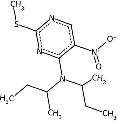 CCC(C)N(c1nc(SC)ncc1[N+](=O)[O-])C(C)CC